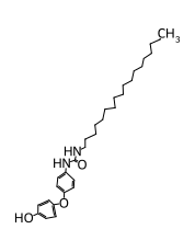 CCCCCCCCCCCCCCCCCCNC(=O)Nc1ccc(Oc2ccc(O)cc2)cc1